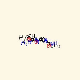 CNC(=O)CCCN1CCc2ccc(-c3noc(-c4ccc(OC(C)C)c(N)c4)n3)cc2CC1